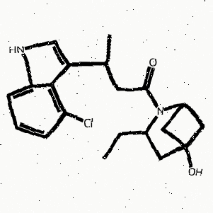 CCC1CC2(O)CC(C2)N1C(=O)CC(C)c1c[nH]c2cccc(Cl)c12